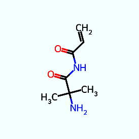 C=CC(=O)NC(=O)C(C)(C)N